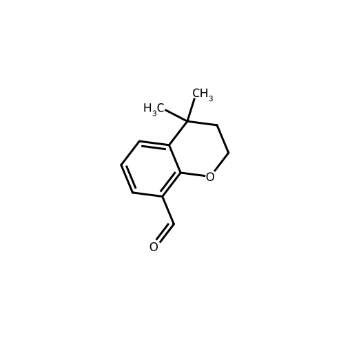 CC1(C)CCOc2c(C=O)cccc21